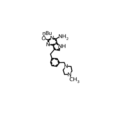 CCCCOc1nc(N)c2[nH]cc(Cc3cccc(CN4CCN(C)CC4)c3)c2n1